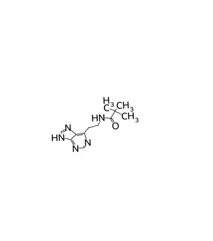 CC(C)(C)C(=O)NCCc1ncnc2[nH]cnc12